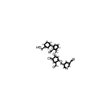 N#Cc1cncc(COc2cc(OCc3cccc(-c4cccc(CO)c4)c3C#N)c(Cl)cc2C=O)c1